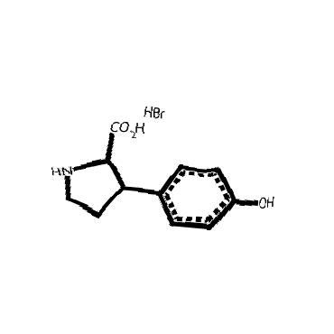 Br.O=C(O)C1NCCC1c1ccc(O)cc1